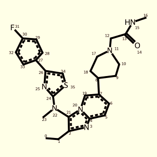 CCc1nc2ccc(C3CCN(CC(=O)NC)CC3)cn2c1N(C)c1nc(-c2ccc(F)cc2)cs1